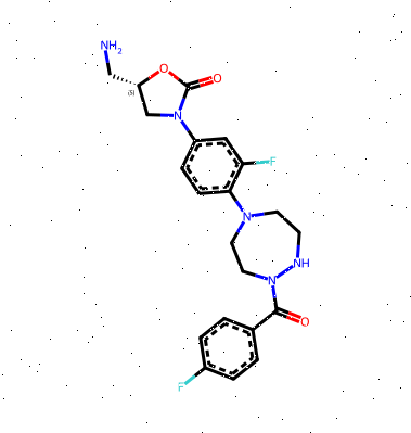 NC[C@H]1CN(c2ccc(N3CCNN(C(=O)c4ccc(F)cc4)CC3)c(F)c2)C(=O)O1